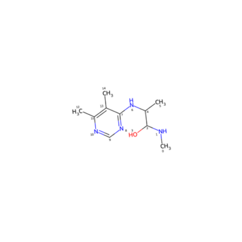 CNC(O)C(C)Nc1ncnc(C)c1C